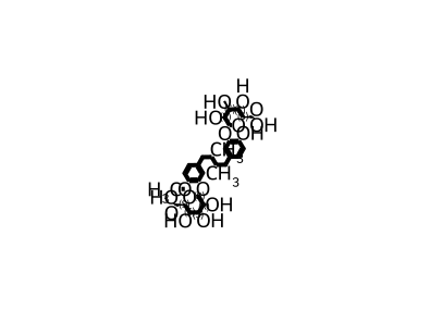 COc1ccc(CC(C)C(C)Cc2ccc(O)c(OC3O[C@H](C(=O)O)[C@@H](O)[C@H](O)[C@H]3O)c2)cc1O[C@@H]1O[C@H](C(=O)O)[C@@H](O)[C@H](O)[C@H]1O